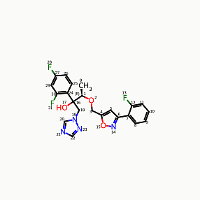 C[C@@H](OCc1cc(-c2ccccc2F)no1)C(O)(Cn1cncn1)c1ccc(F)cc1F